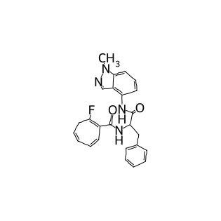 Cn1ncc2c(NC(=O)C(Cc3ccccc3)NC(=O)C3=C(F)CC=CC=C3)cccc21